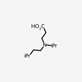 CC(C)CCN(CCC(=O)O)C(C)C